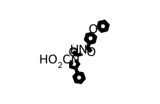 O=C(NCC(=O)N1CC(c2ccccc2)CC1C(=O)O)c1ccc(Oc2ccccc2)cc1